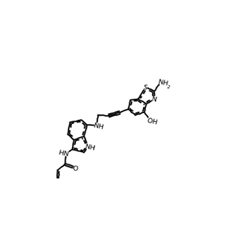 C=CC(=O)Nc1c[nH]c2c(NCC#Cc3cc(O)c4nc(N)sc4c3)cccc12